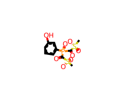 CS(=O)(=O)C(=O)P(=O)(C(=O)S(C)(=O)=O)c1cccc(O)c1